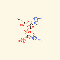 CC(C)(C)SSCC(O)C(=O)O[C@@H]1/C(=C\OP(=O)(O)O[C@H]2C[C@H](n3ccc(N)nc3=O)O[C@@H]2COP(=O)(O)O)OC(n2cnc3c(N)ncnc32)[C@@H]1O